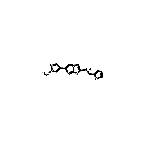 Cn1cc(-c2cn3nc(NCc4ccco4)sc3n2)cn1